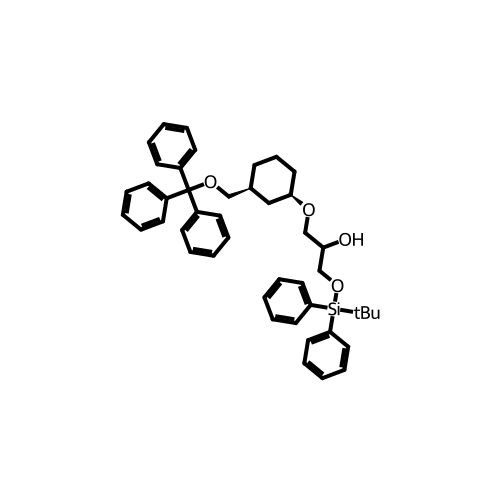 CC(C)(C)[Si](OCC(O)CO[C@@H]1CCC[C@H](COC(c2ccccc2)(c2ccccc2)c2ccccc2)C1)(c1ccccc1)c1ccccc1